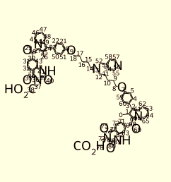 Cc1c(-c2ccc(OCCCCCN(CCCCCOc3ccc(-c4c(C)c(C(=O)c5ccc6c(=O)n(CC(=O)O)c(=O)[nH]c6c5)n5ccccc45)cc3)Cc3ccncc3)cc2)c2ccccn2c1C(=O)c1ccc2c(=O)n(CC(=O)O)c(=O)[nH]c2c1